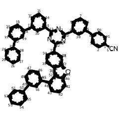 N#Cc1ccc(-c2cccc(-c3nc(-c4cccc(-c5cccc(-c6ccccc6)c5)c4)nc(-c4ccc5c(c4)oc4cccc(-c6cccc(-c7ccccc7)c6)c45)n3)c2)cc1